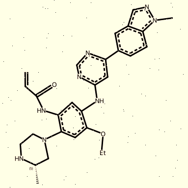 C=CC(=O)Nc1cc(Nc2cc(-c3ccc4c(cnn4C)c3)ncn2)c(OCC)cc1N1CCN[C@@H](C)C1